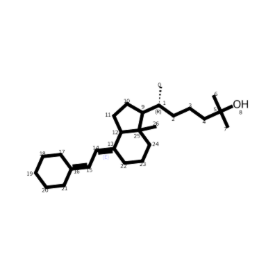 C[C@H](CCCC(C)(C)O)C1CCC2/C(=C/C=C3CCCCC3)CCCC21C